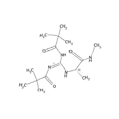 CNC(=O)[C@H](C)N/C(=N\C(=O)C(C)(C)C)NC(=O)C(C)(C)C